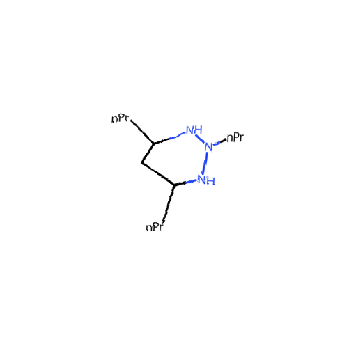 CCCC1CC(CCC)NN(CCC)N1